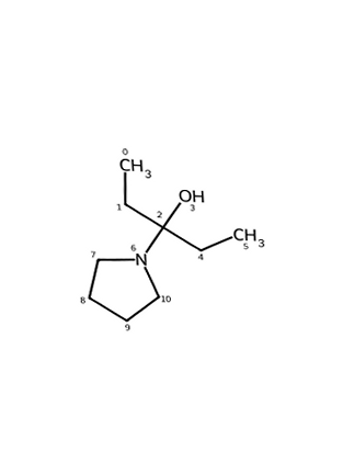 CCC(O)(CC)N1CCCC1